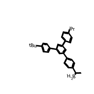 BC(C)c1ccc(-c2cc(-c3ccc(C(C)C)cc3)cc(-c3ccc(C(C)(C)C)cc3)c2)cc1